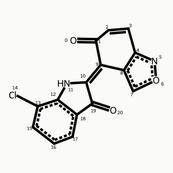 O=C1C=Cc2nocc2C1=C1Nc2c(Cl)cccc2C1=O